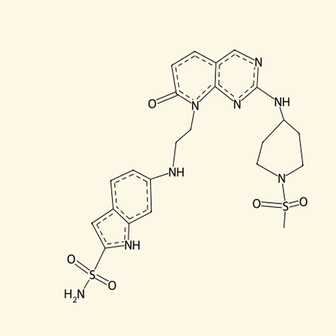 CS(=O)(=O)N1CCC(Nc2ncc3ccc(=O)n(CCNc4ccc5cc(S(N)(=O)=O)[nH]c5c4)c3n2)CC1